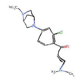 CN(C)C=CC(=O)c1ccc(N2CC3CC2CN3C(=O)O)cc1Cl